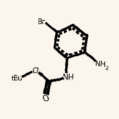 CC(C)(C)OC(=O)Nc1cc(Br)ccc1N